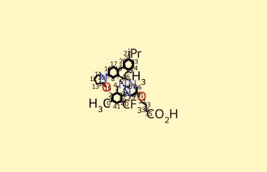 Cc1cc(CN(Cc2cc(N3CCCC3=O)ccc2-c2cc(C(C)C)ccc2C)c2ncc(OCCCC(=O)O)cn2)cc(C(F)(F)F)c1